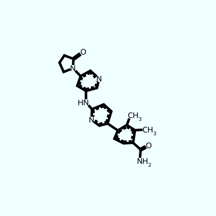 Cc1c(C(N)=O)ccc(-c2ccc(Nc3cncc(N4CCCC4=O)c3)nc2)c1C